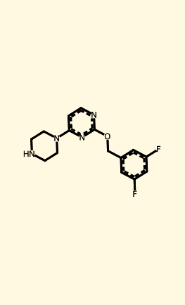 Fc1cc(F)cc(COc2nccc(N3CCNCC3)n2)c1